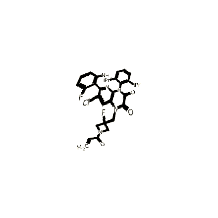 C=CC(=O)N1CC(F)(Cn2c(=O)c(=O)n(-c3c(C(C)C)cccc3C(C)C)c3nc(-c4c(N)cccc4F)c(Cl)cc32)C1